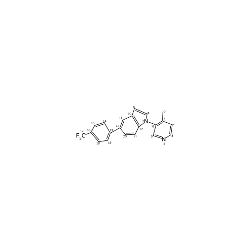 Cc1ccncc1-n1ccc2cc(-c3ccc(C(F)(F)F)cc3)ccc21